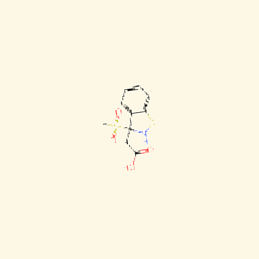 CS(=O)(=O)C1(CC(=O)O)NSc2ccccc21